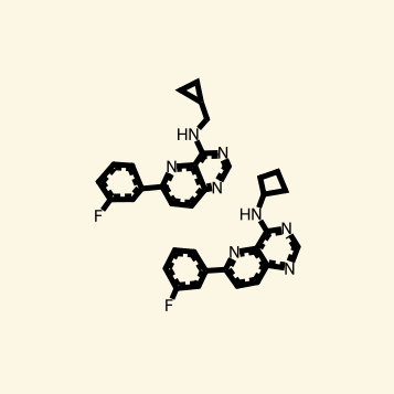 Fc1cccc(-c2ccc3ncnc(NC4CCC4)c3n2)c1.Fc1cccc(-c2ccc3ncnc(NCC4CC4)c3n2)c1